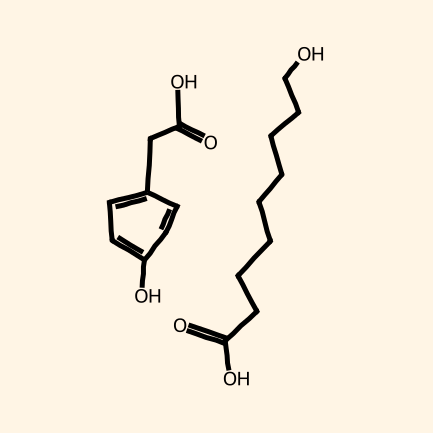 O=C(O)CCCCCCCCO.O=C(O)Cc1ccc(O)cc1